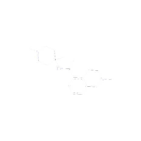 CN1CCC(C)(NC(=O)c2cccc3c2CCN(C)C3)CC1